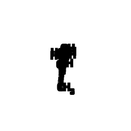 CCCCCCCCCCCCCCCC(=O)NCCOC(=O)[C@H](O)[C@@H](O)[C@H](O)[C@H](O)CO